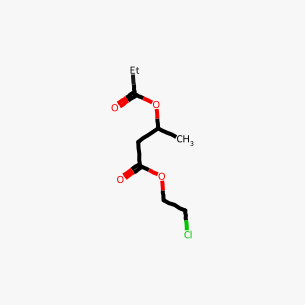 [CH2]CC(=O)OC(C)CC(=O)OCCCl